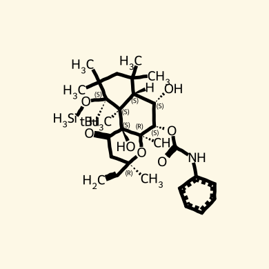 C=C[C@@]1(C)CC(=O)[C@]2(O)[C@]3(C)[C@@H]([C@H](O)[C@H](OC(=O)Nc4ccccc4)[C@@]2(C)O1)C(C)(C)CC(C)(C)[C@@]3(O[SiH3])C(C)(C)C